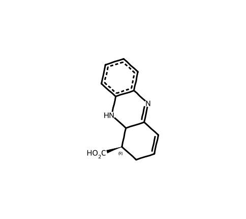 O=C(O)[C@@H]1CC=CC2=Nc3ccccc3NC21